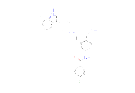 NCc1ccc(NC(=O)c2ccc(F)cc2)cc1CCN1CCC(c2c[nH]c3c(Cl)cccc23)CC1